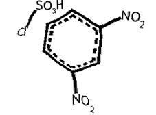 O=S(=O)(O)Cl.O=[N+]([O-])c1cccc([N+](=O)[O-])c1